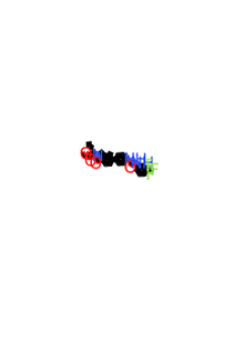 CCC[C@@H](C(=O)OC)N1Cc2c(ccc(-c3ccc(NC(=O)Nc4cccc(C(F)(F)F)c4)cc3)c2C)C1=O